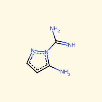 N=C(N)n1nccc1N